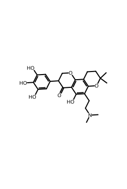 CN(C)CCc1c(O)c2c(c3c1OC(C)(C)CC3)OCC(c1cc(O)c(O)c(O)c1)C2=O